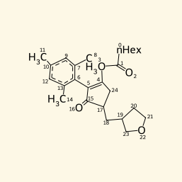 CCCCCCC(=O)OC1=C(c2c(C)cc(C)cc2C)C(=O)C(CC2CCOC2)C1